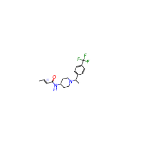 C/C=C/C(=O)NC1CCN(C(C)c2ccc(C(F)(F)F)cc2)CC1